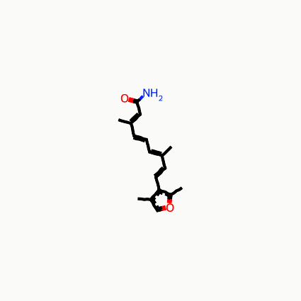 CC(C=Cc1c(C)coc1C)=CC=CC(C)=CC(N)=O